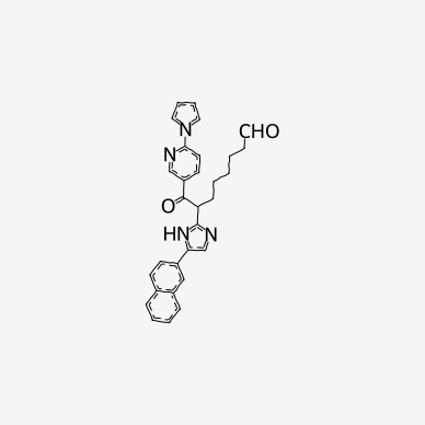 O=CCCCCCC(C(=O)c1ccc(-n2cccc2)nc1)c1ncc(-c2ccc3ccccc3c2)[nH]1